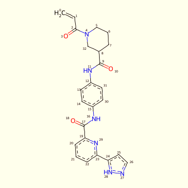 C=CC(=O)N1CCCC(C(=O)Nc2ccc(NC(=O)c3cccc(-c4ccn[nH]4)n3)cc2)C1